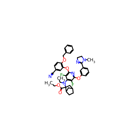 CCOC(=O)C1(N(CC)c2c(F)c(Oc3cccc(C4=NCCN4C)c3)nc(Oc3cc(C#N)ccc3OCc3ccccc3)c2F)CC2CCC1C2